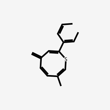 C=C1C=C(C(/C=C\C)=C/C)S/C=C(C)\C=C/1